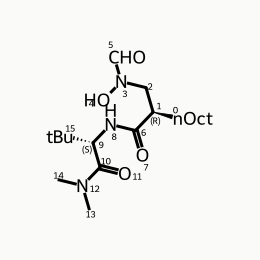 CCCCCCCC[C@H](CN(O)C=O)C(=O)N[C@H](C(=O)N(C)C)C(C)(C)C